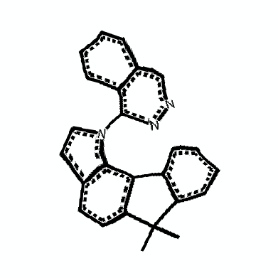 CC1(C)c2ccccc2-c2c1ccc1ccn(-c3nncc4ccccc34)c21